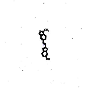 Cn1ncc2cc(/C=C/c3nc4ccc(O)cc4s3)ccc21